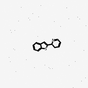 C1=CCC(c2cc3ccccc3s2)N=C1